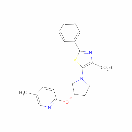 CCOC(=O)c1nc(-c2ccccc2)sc1N1CC[C@H](Oc2ccc(C)cn2)C1